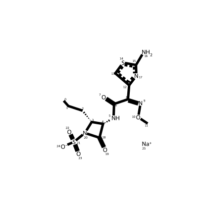 CCC[C@@H]1[C@H](NC(=O)/C(=N\OC)c2csc(N)n2)C(=O)N1S(=O)(=O)[O-].[Na+]